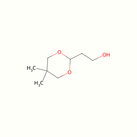 CC1(C)COC(CCO)OC1